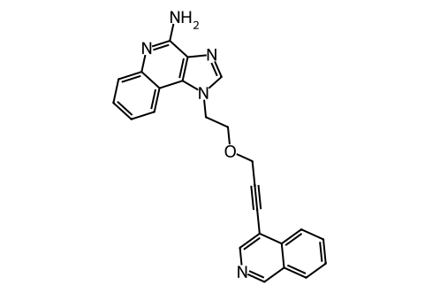 Nc1nc2ccccc2c2c1ncn2CCOCC#Cc1cncc2ccccc12